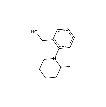 OCc1ccccc1N1CCCCC1F